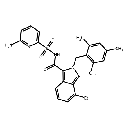 CCc1cccc2c(C(=O)NS(=O)(=O)c3cccc(N)n3)n(Cc3c(C)cc(C)cc3C)nc12